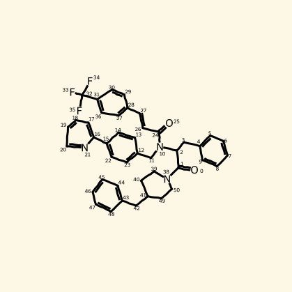 O=C(C(Cc1ccccc1)N(Cc1ccc(-c2ccccn2)cc1)C(=O)C=Cc1ccc(C(F)(F)F)cc1)N1CCC(Cc2ccccc2)CC1